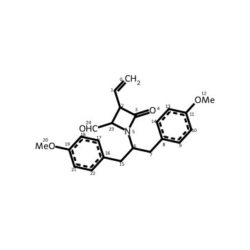 C=CC1C(=O)N(C(Cc2ccc(OC)cc2)Cc2ccc(OC)cc2)C1C=O